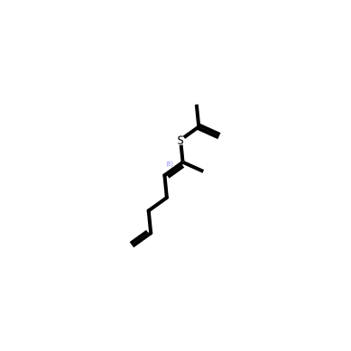 C=CCC/C=C(\C)SC(=C)C